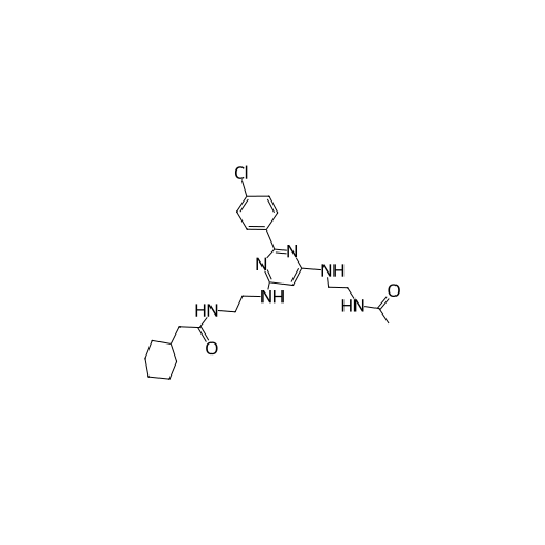 CC(=O)NCCNc1cc(NCCNC(=O)CC2CCCCC2)nc(-c2ccc(Cl)cc2)n1